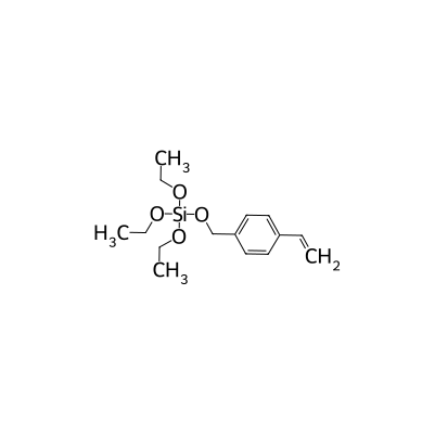 C=Cc1ccc(CO[Si](OCC)(OCC)OCC)cc1